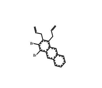 C=CCc1c(Br)c(Br)c2cc3ccccc3cc2c1CC=C